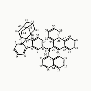 c1ccc2c(c1)-c1cc(N(c3cccc4ccccc34)c3cc4ccccc4c4ccccc34)ccc1C21C2CC3CC(C2)CC1C3